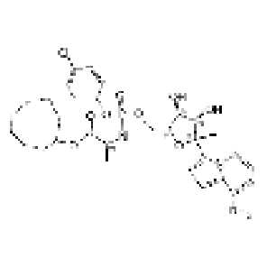 C[C@H](NP(=O)(OC[C@H]1O[C@@](C)(c2ccc3c(N)ncnn23)[C@H](O)[C@@H]1O)Oc1ccc(Cl)cc1)C(=O)OC1CCCCCCC1